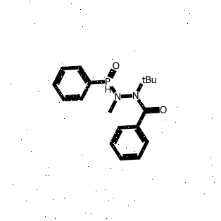 CN(N(C(=O)c1ccccc1)C(C)(C)C)[PH](=O)c1ccccc1